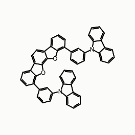 c1cc(-c2cccc3c2oc2c3ccc3c4cccc(-c5cccc(-n6c7ccccc7c7ccccc76)c5)c4oc32)cc(-n2c3ccccc3c3ccccc32)c1